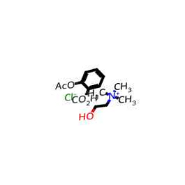 CC(=O)Oc1ccccc1C(=O)O.C[N+](C)(C)CCO.[Cl-]